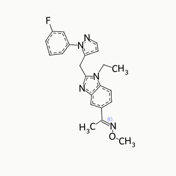 CCn1c(Cc2ccnn2-c2cccc(F)c2)nc2cc(/C(C)=N/OC)ccc21